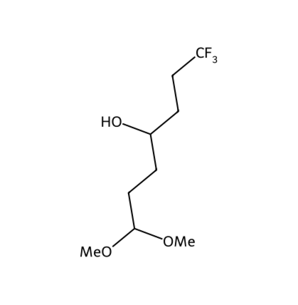 COC(CCC(O)CCC(F)(F)F)OC